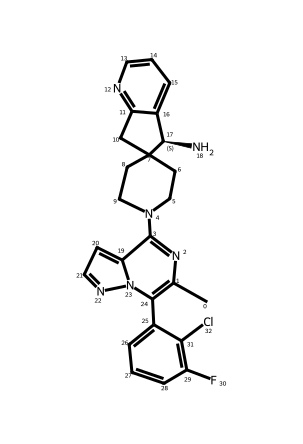 Cc1nc(N2CCC3(CC2)Cc2ncccc2[C@H]3N)c2ccnn2c1-c1cccc(F)c1Cl